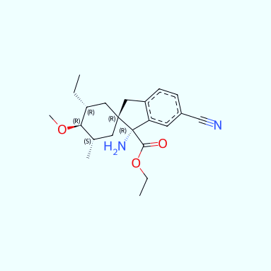 CCOC(=O)[C@]1(N)c2cc(C#N)ccc2C[C@@]12C[C@@H](CC)[C@H](OC)[C@@H](C)C2